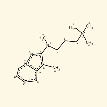 CN(CCC[N+](C)(C)C)c1nn2ccccc2c1N